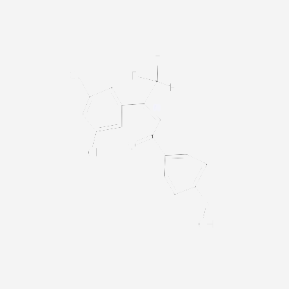 CSc1ccc(C(=O)/C=C(\c2cc(Cl)cc(Cl)c2)C(F)(F)F)cc1